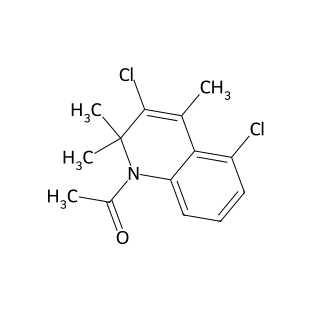 CC(=O)N1c2cccc(Cl)c2C(C)=C(Cl)C1(C)C